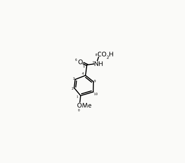 COc1ccc(C(=O)NC(=O)O)cc1